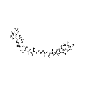 Cn1ncc(-c2nc(NC3CCC(NCC(=O)NCCCCNCC(=O)NCc4cc5c(s4)C(=O)N(C4CCC(=O)NC4=O)C5=O)CC3)ncc2F)c1CC1CC1